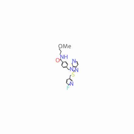 COCCCNC(=O)c1ccc(Cn2c(SCc3ccc(F)nc3)nc3ccncc32)cc1